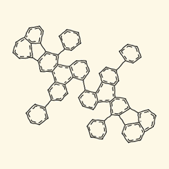 c1ccc(-c2ccc3c(c2)c2cc4c(c(-c5ccccc5)c2c2cccc(-c5cccc6c5c5ccc(-c7ccccc7)cc5c5cc7c(c(-c8ccccc8)c56)-c5cccc6cccc-7c56)c32)-c2cccc3cccc-4c23)cc1